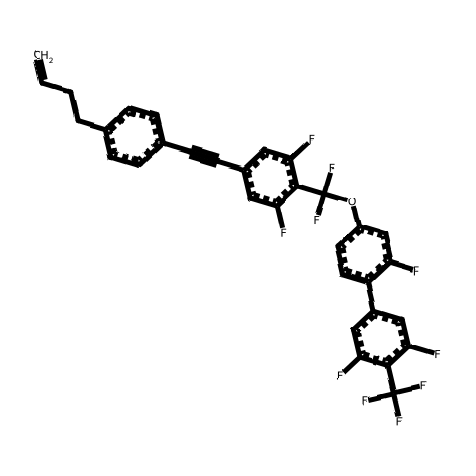 C=CCCc1ccc(C#Cc2cc(F)c(C(F)(F)Oc3ccc(-c4cc(F)c(C(F)(F)F)c(F)c4)c(F)c3)c(F)c2)cc1